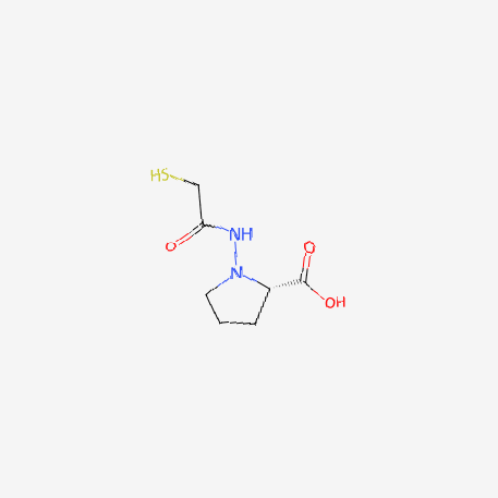 O=C(CS)NN1CCC[C@H]1C(=O)O